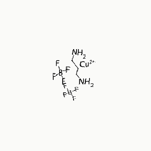 F[B-](F)(F)F.F[B-](F)(F)F.NCCCN.[Cu+2]